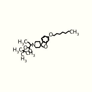 CCCCCCCOc1ccc2c(c1)OCC21CCN(C(CC)C(=O)OC(C)(C)C)CC1